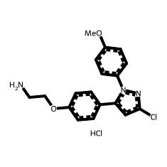 COc1ccc(-n2nc(Cl)cc2-c2ccc(OCCN)cc2)cc1.Cl